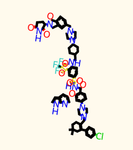 CC1(C)CCC(CN2CCN(c3ccc(C(=O)NS(=O)(=O)c4ccc(NCC5CCC(N6CCN(Cc7ccc8c(c7)CN(C7CCC(=O)NC7=O)C8=O)CC6)CC5)c(S(=O)(=O)C(F)(F)F)c4)c(Oc4cnc5[nH]ccc5c4)c3)CC2)=C(c2ccc(Cl)cc2)C1